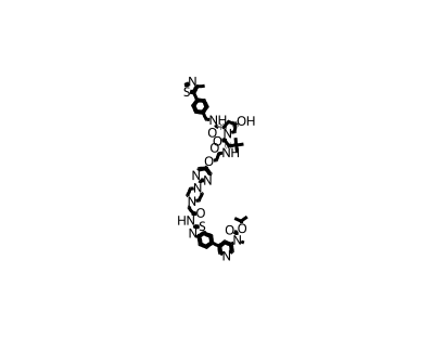 Cc1ncsc1-c1ccc(CNC(=O)[C@@H]2C[C@@H](O)CN2C(=O)[C@@H](NC(=O)COc2cnc(N3CCN(CC(=O)Nc4nc5ccc(-c6cncc(N(C)C(=O)OC(C)C)c6)cc5s4)CC3)nc2)C(C)(C)C)cc1